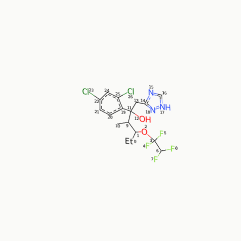 CCC(OC(F)(F)C(F)F)C(C)C(O)(Cc1nc[nH]n1)c1ccc(Cl)cc1Cl